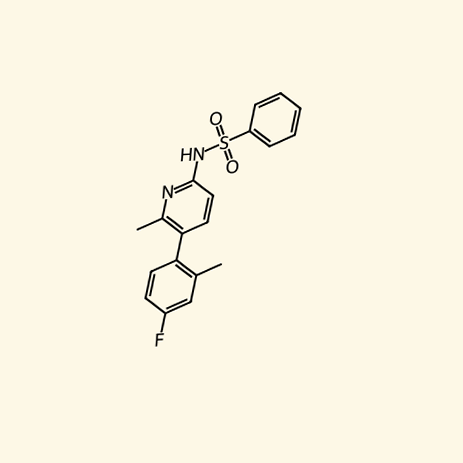 Cc1cc(F)ccc1-c1ccc(NS(=O)(=O)c2ccccc2)nc1C